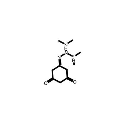 C[SiH](C)N(N=C1CC(=O)CC(=O)C1)[SiH](C)C